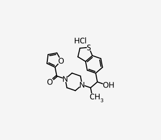 CC(C(O)c1ccc2c(c1)CCS2)N1CCN(C(=O)c2ccco2)CC1.Cl